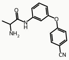 CC(N)C(=O)Nc1cccc(Oc2ccc(C#N)cc2)c1